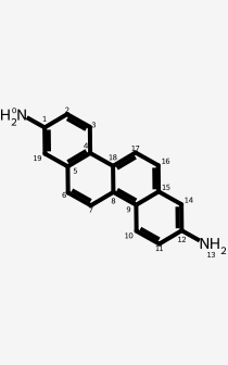 Nc1ccc2c(ccc3c4ccc(N)cc4ccc23)c1